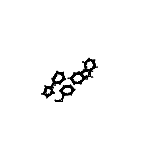 COc1ccccc1.c1ccc(-c2ccsc2)cc1.c1ccc2c(c1)oc1ccccc12